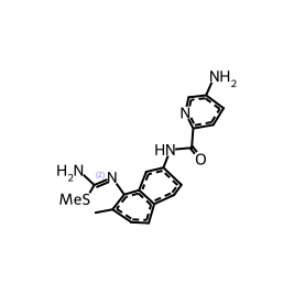 CS/C(N)=N\c1c(C)ccc2ccc(NC(=O)c3ccc(N)cn3)cc12